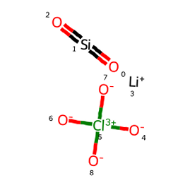 O=[Si]=O.[Li+].[O-][Cl+3]([O-])([O-])[O-]